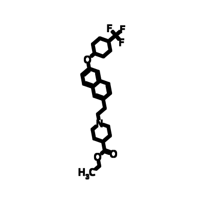 CCOC(=O)C1CCN(CCc2ccc3cc(OC4CCC(C(F)(F)F)CC4)ccc3c2)CC1